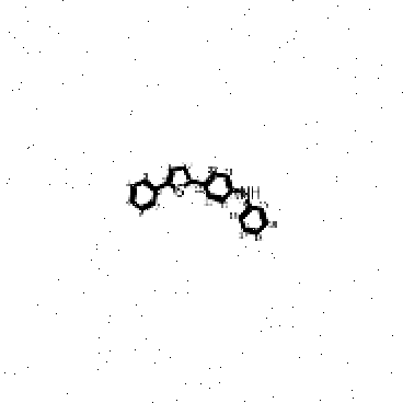 C1=C(c2ccccc2)SC(c2ccc(Nc3ccccc3)cc2)C1